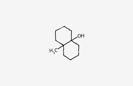 CC12CCCCC1(O)CCCC2